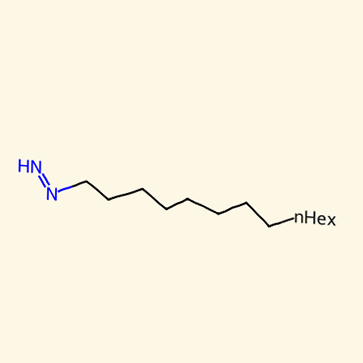 CCCCCCCCCCCCCCN=N